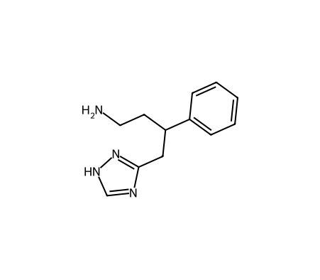 NCCC(Cc1nc[nH]n1)c1ccccc1